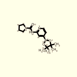 CC1(C)OB(c2ccnc(NC(=O)N3CCCC3)c2)OC1(C)C